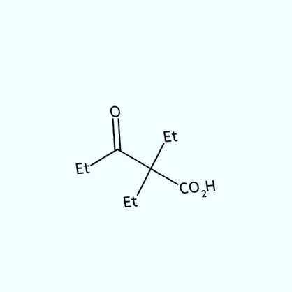 CCC(=O)C(CC)(CC)C(=O)O